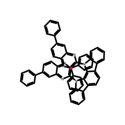 c1ccc(-c2ccc3nc(-c4ccccc4)c(-n4c5ccccc5c5ccc6c7ccccc7n(-c7nc8cc(-c9ccccc9)ccc8nc7-c7ccccc7)c6c54)nc3c2)cc1